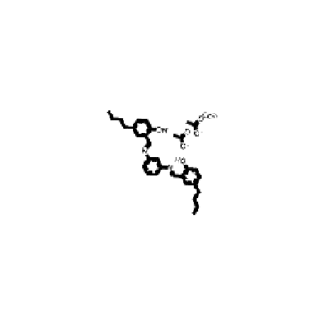 CC(=O)[O-].CC(=O)[O-].CCCCc1ccc(O)c(C=Nc2cccc(N=Cc3cc(CCCC)ccc3O)c2)c1.[Co+2]